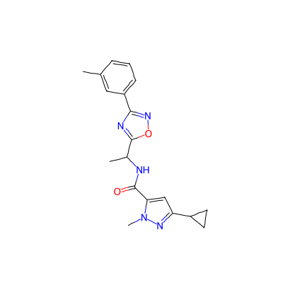 Cc1cccc(-c2noc(C(C)NC(=O)c3cc(C4CC4)nn3C)n2)c1